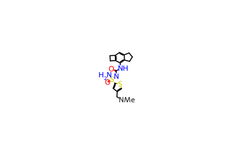 CNCc1csc([S@](N)(=O)=NC(=O)Nc2c3c(cc4c2CC4)CCC3)c1